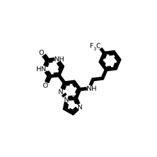 O=c1[nH]cc(-c2cc(NCCc3cccc(C(F)(F)F)c3)c3nccn3n2)c(=O)[nH]1